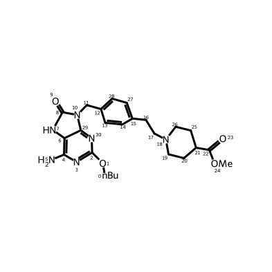 CCCCOc1nc(N)c2[nH]c(=O)n(Cc3ccc(CCN4CCC(C(=O)OC)CC4)cc3)c2n1